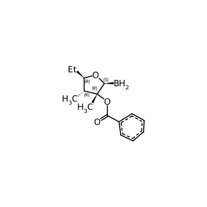 B[C@@H]1O[C@H](CC)[C@@H](C)[C@@]1(C)OC(=O)c1ccccc1